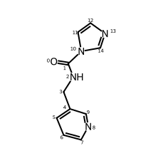 O=C(NCc1cccnc1)n1ccnc1